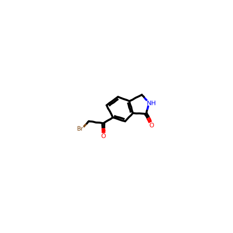 O=C(CBr)c1ccc2c(c1)C(=O)NC2